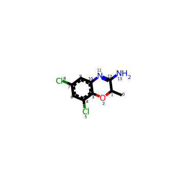 CC1Oc2c(Cl)cc(Cl)cc2N=C1N